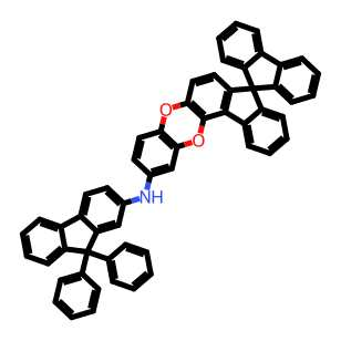 c1ccc(C2(c3ccccc3)c3ccccc3-c3ccc(Nc4ccc5c(c4)Oc4c(ccc6c4-c4ccccc4C64c6ccccc6-c6ccccc64)O5)cc32)cc1